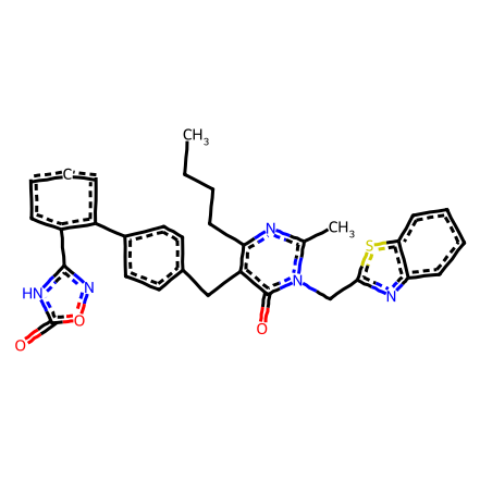 CCCCc1nc(C)n(Cc2nc3ccccc3s2)c(=O)c1Cc1ccc(-c2ccccc2-c2noc(=O)[nH]2)cc1